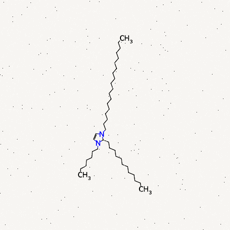 CCCCCCCCCCCCCCCCCCCN1C=CN(CCCCCCC)C1CCCCCCCCCCCC